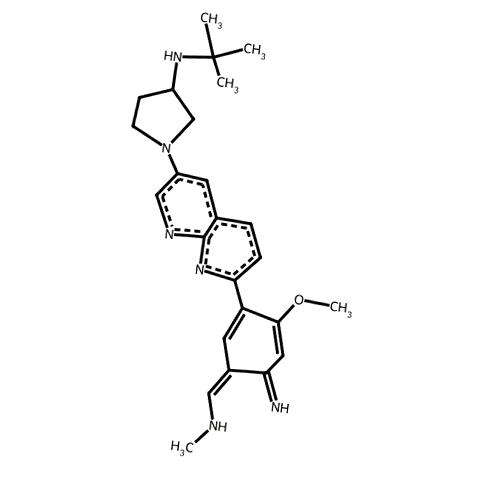 CN/C=C1/C=C(c2ccc3cc(N4CCC(NC(C)(C)C)C4)cnc3n2)C(OC)=CC1=N